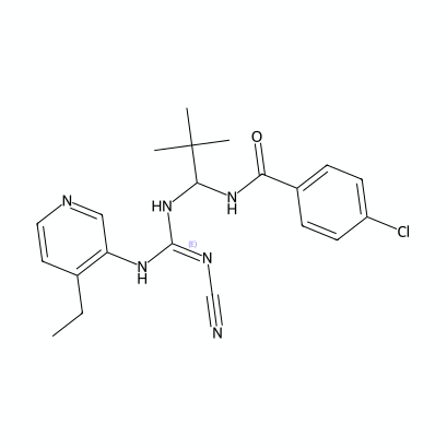 CCc1ccncc1N/C(=N\C#N)NC(NC(=O)c1ccc(Cl)cc1)C(C)(C)C